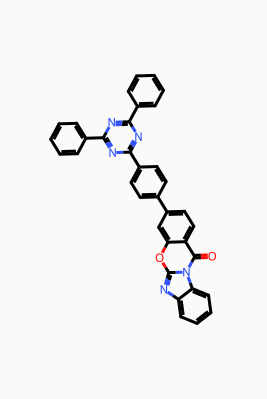 O=c1c2ccc(-c3ccc(-c4nc(-c5ccccc5)nc(-c5ccccc5)n4)cc3)cc2oc2nc3ccccc3n12